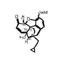 COc1ccc2c3c1O[C@H]1C(=O)C=C[C@@]4(O)[C@@H](C2)N(CC2CC2)CC[C@]314